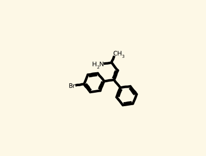 CC(N)C=C(c1ccccc1)c1ccc(Br)cc1